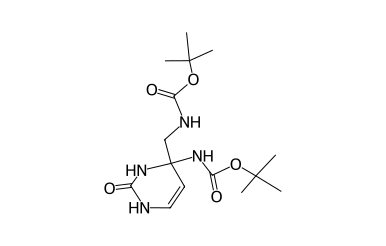 CC(C)(C)OC(=O)NCC1(NC(=O)OC(C)(C)C)C=CNC(=O)N1